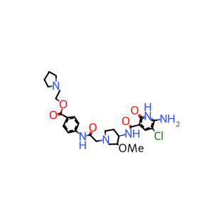 CO[C@H]1CN(CC(=O)Nc2ccc(C(=O)OCCN3CCCC3)cc2)CC[C@H]1NC(=O)c1cc(Cl)c(N)[nH]c1=O